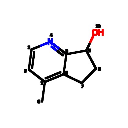 Cc1ccnc2c1CCC2O